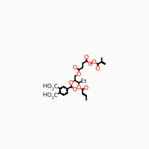 C=C(C)C(=O)OOC(=O)CCC(=O)OCC(OC(=O)c1ccc(C(=O)O)c(C(=O)O)c1)C(CC)OC(=O)C=CC